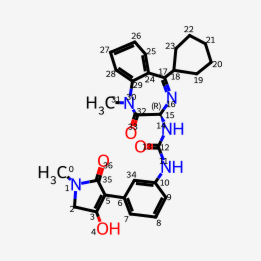 CN1CC(O)=C(c2cccc(NC(=O)N[C@@H]3N=C(C4CCCCC4)c4ccccc4N(C)C3=O)c2)C1=O